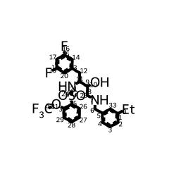 CCc1cccc(CNCC(O)C(Cc2cc(F)cc(F)c2)NS(=O)(=O)c2ccccc2OC(F)(F)F)c1